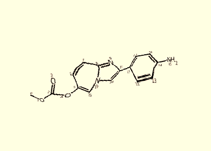 COC(=O)Oc1ccc2nc(-c3ccc(N)cc3)cn2c1